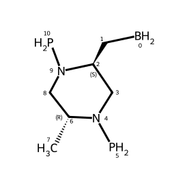 BC[C@H]1CN(P)[C@H](C)CN1P